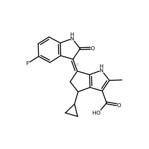 Cc1[nH]c2c(c1C(=O)O)C(C1CC1)C/C2=C1/C(=O)Nc2ccc(F)cc21